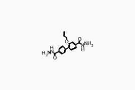 C=CCOc1cc(C(=O)NN)ccc1-c1ccc(C(=O)NN)cc1